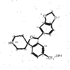 Cl.FC(F)(F)c1ccc(C2(OCc3ccc4c(c3)OCO4)CCNCC2)cc1